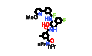 CCCN(CCC)C(=O)c1cc(C)cc(C(=O)N[C@@H](Cc2cc(F)cc(F)c2)[C@H](O)CNCc2cccc(-c3cccc(OC)n3)c2)c1